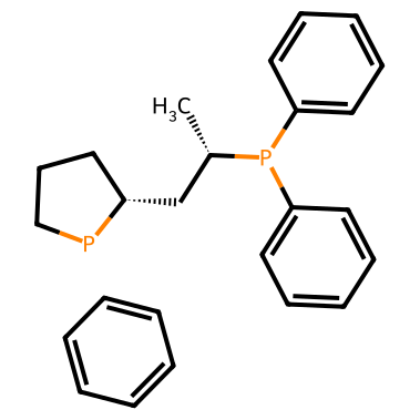 C[C@@H](C[C@H]1CCC[P@]1c1ccccc1)P(c1ccccc1)c1ccccc1